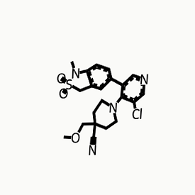 COCC1(C#N)CCN(c2c(Cl)cncc2-c2ccc3c(c2)CS(=O)(=O)N3C)CC1